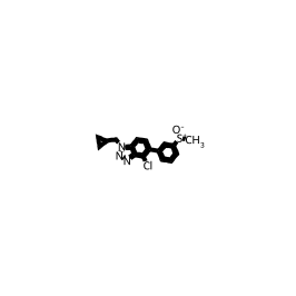 C[S+]([O-])c1cccc(-c2ccc3c(nnn3CC3CC3)c2Cl)c1